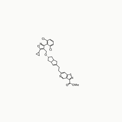 COC(=O)c1nsc2cc(CCC3=CC4C[C@H](OCc5c(-c6c(Cl)cccc6Cl)noc5C5CC5)CC4C3)ncc12